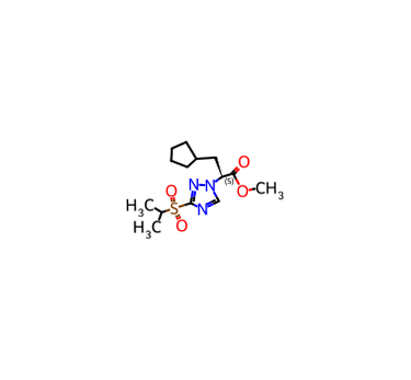 COC(=O)[C@H](CC1CCCC1)n1cnc(S(=O)(=O)C(C)C)n1